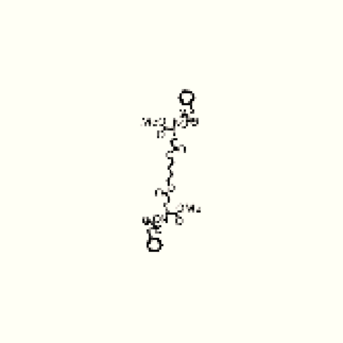 COC(=O)/C(=N/OS(=O)(=O)Cc1ccccc1)SCC(=O)OCCCCOC(=O)CS/C(=N\OS(=O)(=O)Cc1ccccc1)C(=O)OC